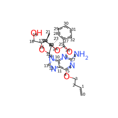 C=CCCOc1nc(N)nc2c1ncn2C1OC(CO)[C@@H](C)[C@@]1(C)OC(=O)c1ccccc1